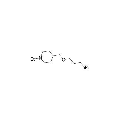 CCN1CCC(COCCCC(C)C)CC1